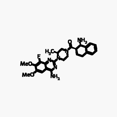 COc1cc2c(N)nc(N3CCN(C(=O)[C@@H]4CCc5ccccc5[C@@H]4N)C[C@@H]3C)nc2c(F)c1OC